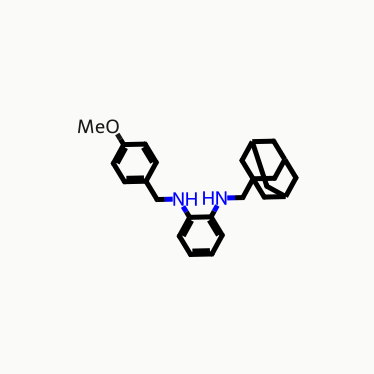 COc1ccc(CNc2ccccc2NCC23CC4CC(CC(C4)C2)C3)cc1